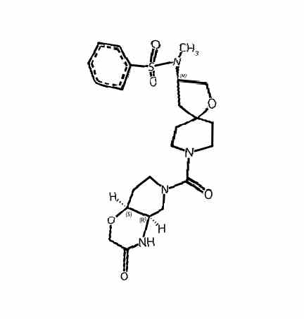 CN([C@H]1COC2(CCN(C(=O)N3CC[C@@H]4OCC(=O)N[C@@H]4C3)CC2)C1)S(=O)(=O)c1ccccc1